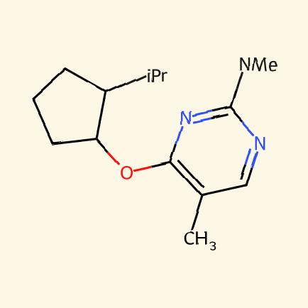 CNc1ncc(C)c(OC2CCCC2C(C)C)n1